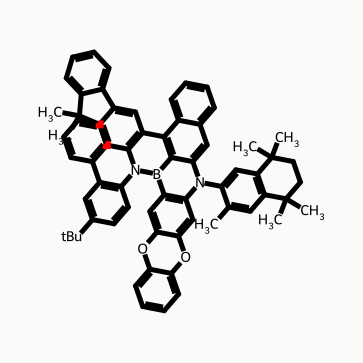 Cc1cc2c(cc1N1c3cc4c(cc3B3c5c1cc1ccccc1c5-c1cc5c(cc1N3c1ccc(C(C)(C)C)cc1-c1ccccc1)C(C)(C)c1ccccc1-5)Oc1ccccc1O4)C(C)(C)CCC2(C)C